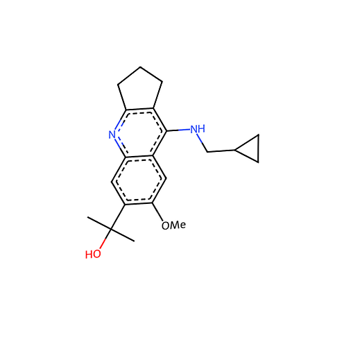 COc1cc2c(NCC3CC3)c3c(nc2cc1C(C)(C)O)CCC3